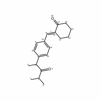 CC(C)C(=O)C(C)c1ccc(/C=C2\CCCCC2=O)cc1